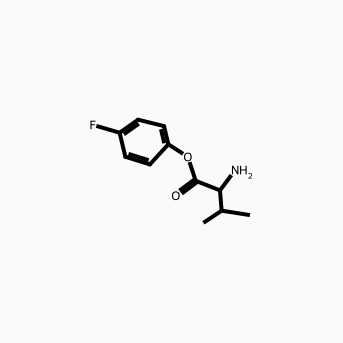 CC(C)C(N)C(=O)Oc1ccc(F)cc1